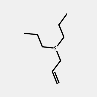 C=CC[Si](CCC)CCC